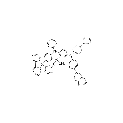 CC1(C)c2cc(N(C3=CCC(c4ccccc4)C=C3)c3ccc(-c4ccc5ccccc5c4)cc3)ccc2N(c2ccccc2)c2ccc(C3(c4ccccc4)c4ccccc4-c4ccccc43)cc21